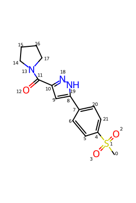 CS(=O)(=O)c1ccc(-c2cc(C(=O)N3CCCC3)n[nH]2)cc1